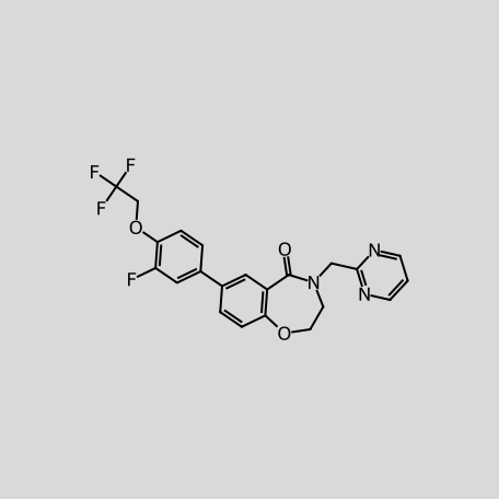 O=C1c2cc(-c3ccc(OCC(F)(F)F)c(F)c3)ccc2OCCN1Cc1ncccn1